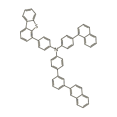 c1cc(-c2ccc(N(c3ccc(-c4cccc5ccccc45)cc3)c3ccc(-c4cccc5c4sc4ccccc45)cc3)cc2)cc(-c2ccc3ccccc3c2)c1